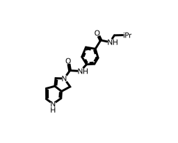 CC(C)CNC(=O)c1ccc(NC(=O)N2C=C3C=CNC=C3C2)cc1